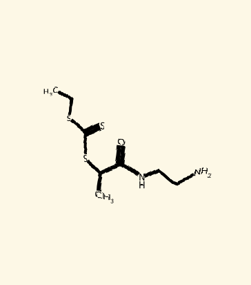 CCSC(=S)SC(C)C(=O)NCCN